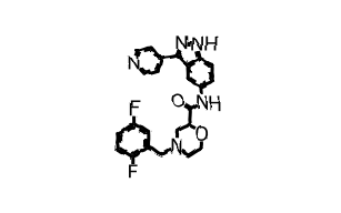 O=C(Nc1ccc2[nH]nc(-c3ccncc3)c2c1)C1CN(Cc2cc(F)ccc2F)CCO1